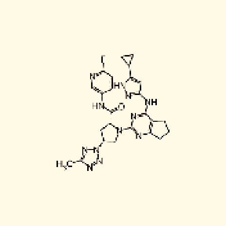 Cc1nnn([C@H]2C[C@H](C(=O)Nc3ccc(F)nc3)N(c3nc4c(c(Nc5cc(C6CC6)[nH]n5)n3)CCC4)C2)n1